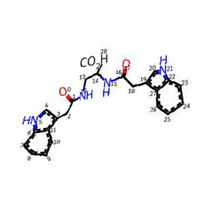 O=C(Cc1c[nH]c2ccccc12)NCC(NC(=O)Cc1c[nH]c2ccccc12)C(=O)O